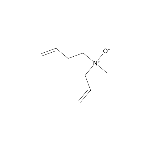 C=CCC[N+](C)([O-])CC=C